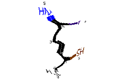 C/C(S)=C/C(=N)I